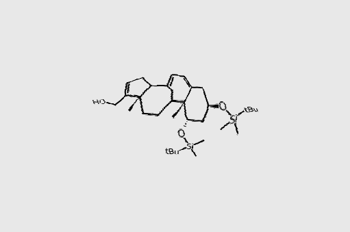 CC(C)(C)[Si](C)(C)O[C@@H]1CC2=CC=C3C(CC[C@]4(C)C(CO)=CCC34)[C@@]2(C)[C@@H](O[Si](C)(C)C(C)(C)C)C1